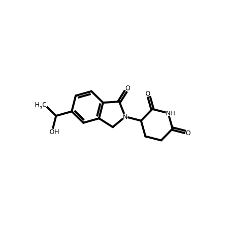 CC(O)c1ccc2c(c1)CN(C1CCC(=O)NC1=O)C2=O